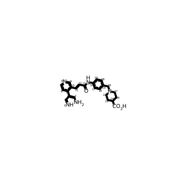 N=C/C(=C\N)c1ccncc1/C=C/C(=O)Nc1ccc(CN2CCC(C(=O)O)CC2)cc1